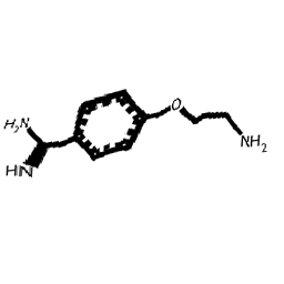 N=C(N)c1ccc(OCCN)cc1